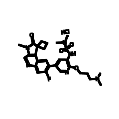 CN(C)CCCOc1ncc(-c2cc3c4c(cnc3cc2F)N(C)C(=O)C42CCC2)cc1NS(=O)(=O)N(C)C.Cl